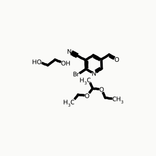 CCOC(C)OCC.N#Cc1cc(C=O)cnc1Br.OCCO